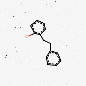 [O]c1ccccc1CCc1ccccc1